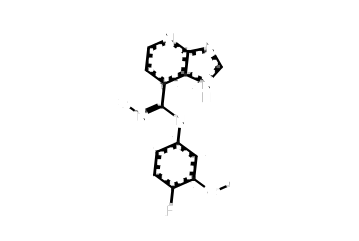 O/N=C(/Nc1ccc(F)c(OC(F)(F)F)c1)c1ccnc2nc[nH]c12